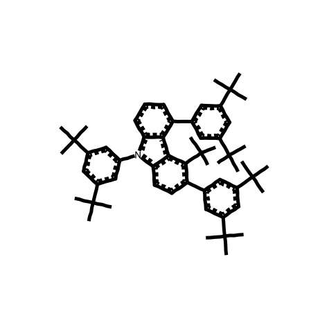 CC(C)(C)c1cc(-c2ccc3c(c2C(C)(C)C)c2c(-c4cc(C(C)(C)C)cc(C(C)(C)C)c4)cccc2n3-c2cc(C(C)(C)C)cc(C(C)(C)C)c2)cc(C(C)(C)C)c1